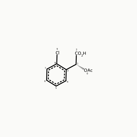 CC(=O)O[C@@H](C(=O)O)c1ccccc1Cl